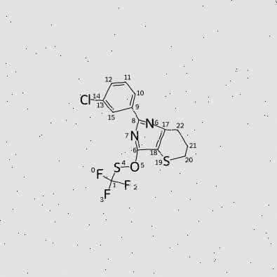 FC(F)(F)SOc1nc(-c2cccc(Cl)c2)nc2c1SCCC2